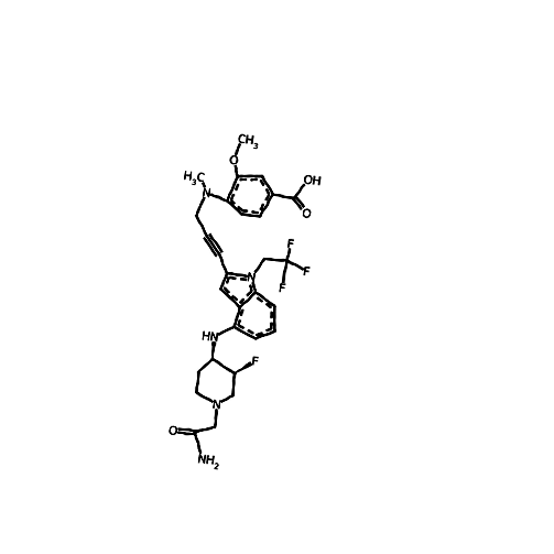 COc1cc(C(=O)O)ccc1N(C)CC#Cc1cc2c(N[C@@H]3CCN(CC(N)=O)C[C@@H]3F)cccc2n1CC(F)(F)F